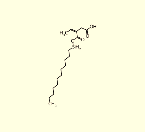 CC=C(CC(=O)O)C(=O)O[SiH2]CCCCCCCCCCCC